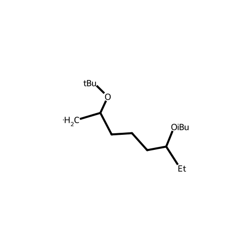 [CH2]C(CCCC(CC)OCC(C)C)OC(C)(C)C